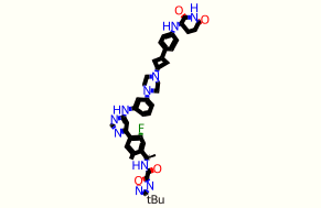 Cc1cc(-c2cc(Nc3cccc(N4CCN(C5CC(c6ccc(NC7CCC(=O)NC7=O)cc6)C5)CC4)c3)ncn2)c(F)cc1[C@@H](C)NC(=O)c1nc(C(C)(C)C)no1